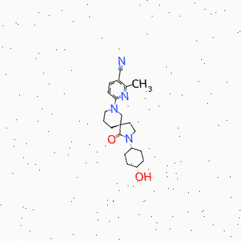 Cc1nc(N2CCC[C@]3(CCN([C@H]4CC[C@@H](O)CC4)C3=O)C2)ccc1C#N